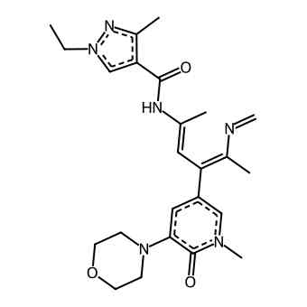 C=N/C(C)=C(\C=C(/C)NC(=O)c1cn(CC)nc1C)c1cc(N2CCOCC2)c(=O)n(C)c1